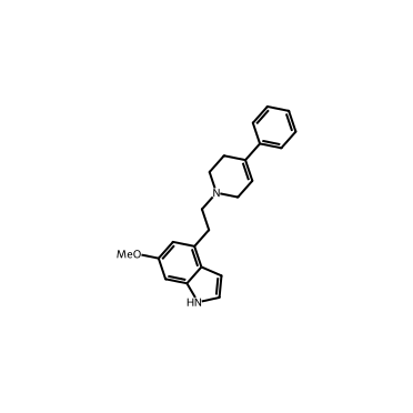 COc1cc(CCN2CC=C(c3ccccc3)CC2)c2cc[nH]c2c1